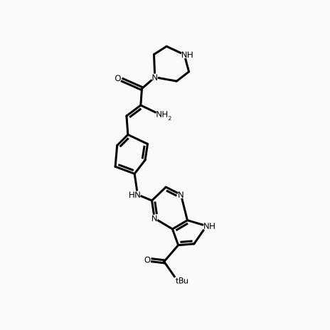 CC(C)(C)C(=O)c1c[nH]c2ncc(Nc3ccc(C=C(N)C(=O)N4CCNCC4)cc3)nc12